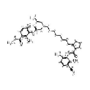 CCCN(CCCCCCCCN1CCCC1C(=O)Nc1c(C)ccc(C#N)c1C)CC(=O)Nc1c(C)ccc(C(=O)OC)c1C